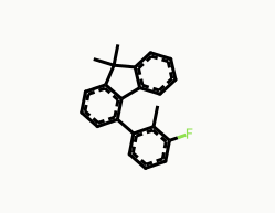 Cc1c(F)cccc1-c1cccc2c1-c1ccccc1C2(C)C